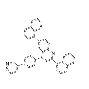 c1cncc(-c2ccc(-c3cc(-c4cccc5ccccc45)nc4ccc(-c5cccc6ccccc56)cc34)cc2)c1